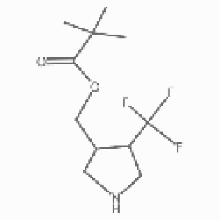 CC(C)(C)C(=O)OCC1CNCC1C(F)(F)F